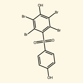 O=S(=O)(c1ccc(O)cc1)c1c(Br)c(Br)c(O)c(Br)c1Br